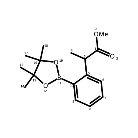 COC(=O)C(C)c1ccccc1B1OC(C)(C)C(C)(C)O1